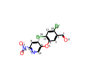 O=Cc1cc(Oc2ccc([N+](=O)[O-])nc2)c(Br)cc1Br